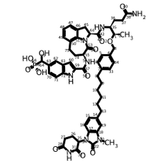 C[C@@H](OCc1ccc(CCCCCCc2ccc3c(c2)n(C)c(=O)n3C2CCC(=O)NC2=O)cc1)[C@H](CCC(N)=O)NC(=O)[C@@H]1Cc2cccc3c2N1C(=O)[C@@H](NC(=O)c1cc2cc(C(O)P(=O)(O)O)ccc2[nH]1)CC3